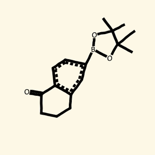 CC1(C)OB(c2ccc3c(c2)CCCC3=O)OC1(C)C